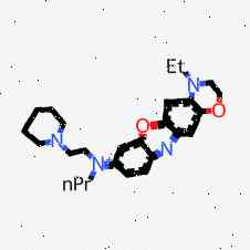 CCC/[N+](CCN1CCCCC1)=c1\ccc2nc3cc4c(cc3oc-2c1)N(CC)CCO4